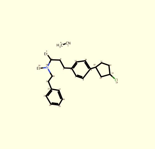 CC#N.CCC(CCc1ccc(C2CCC(Cl)C2)cc1)N(CC)CCc1ccccc1